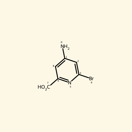 Nc1cc(Br)nc(C(=O)O)c1